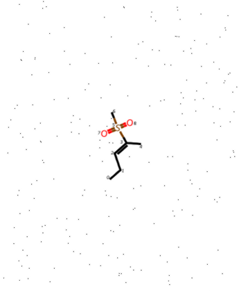 CC/C=C(\C)S(C)(=O)=O